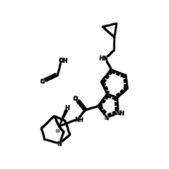 O=C(N[C@@H]1CN2CCC1CC2)c1n[nH]c2ccc(NCC3CC3)cc12.O=CO